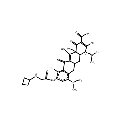 CN(C)c1cc(NC(=O)CNC2CCC2)c(O)c2c1CC1CC3[C@H](N(C)C)C(O)=C(C(N)=O)C(=O)C3(O)C(O)=C1C2=O